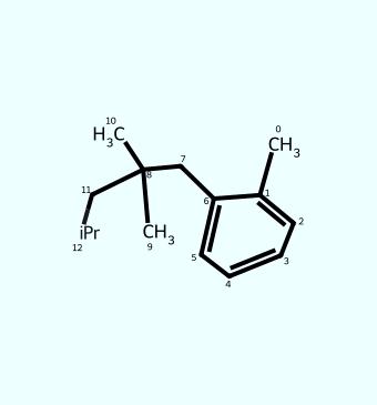 Cc1ccccc1CC(C)(C)CC(C)C